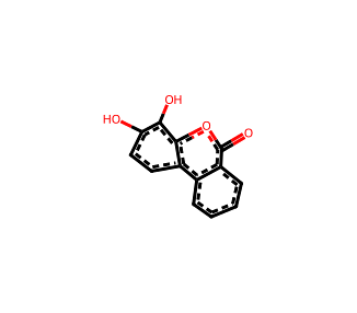 O=c1oc2c(O)c(O)ccc2c2ccccc12